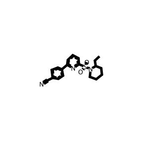 CCC1CCCCN1S(=O)(=O)c1cccc(-c2ccc(C#N)cc2)n1